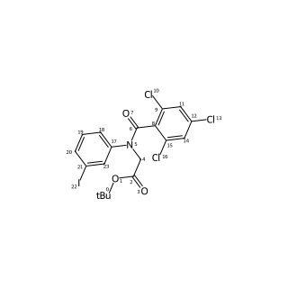 CC(C)(C)OC(=O)CN(C(=O)c1c(Cl)cc(Cl)cc1Cl)c1cccc(I)c1